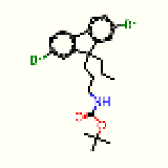 CCCC1(CCCNC(=O)OC(C)(C)C)c2cc(Br)ccc2-c2ccc(Br)cc21